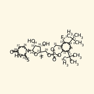 CC(C)(C)c1cc(C(C)(C)C)c2c(c1F)COP(=O)(OC[C@@]1(F)O[C@@H](n3ccc(=O)[nH]c3=S)[C@H](O)[C@@H]1O)O2